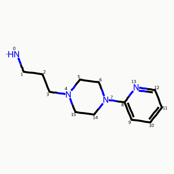 [NH]CCCN1CCN(c2ccccn2)CC1